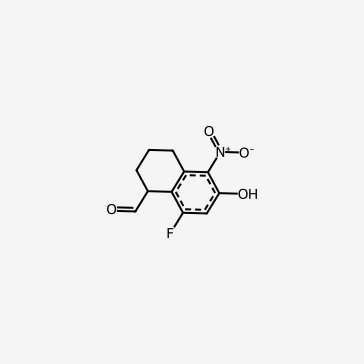 O=CC1CCCc2c1c(F)cc(O)c2[N+](=O)[O-]